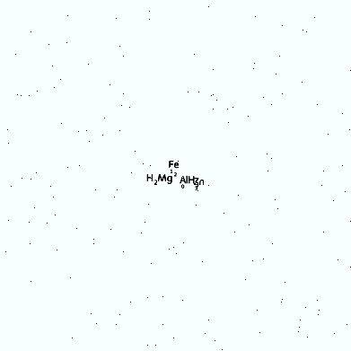 [AlH3].[Fe].[MgH2].[Zn]